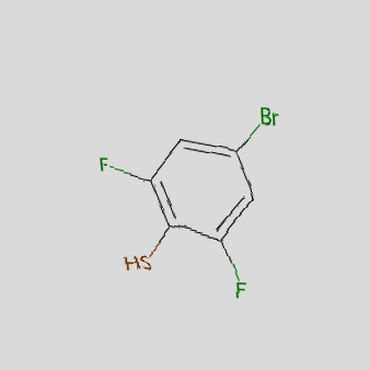 Fc1cc(Br)cc(F)c1S